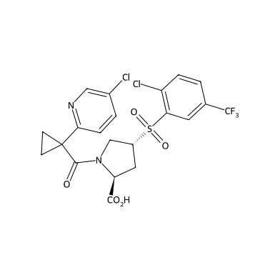 O=C(O)[C@@H]1C[C@@H](S(=O)(=O)c2cc(C(F)(F)F)ccc2Cl)CN1C(=O)C1(c2ccc(Cl)cn2)CC1